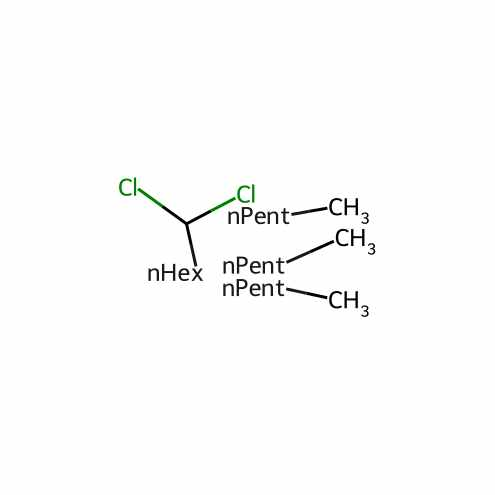 CCCCCC.CCCCCC.CCCCCC.CCCCCCC(Cl)Cl